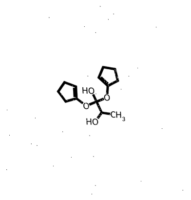 CC(O)C(O)(OC1=CCCC1)OC1=CCCC1